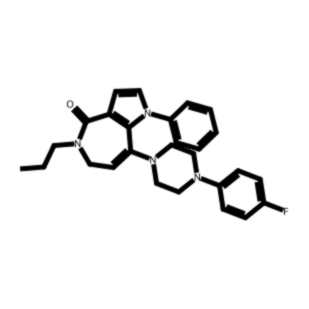 CCCN1CC=C(N2CCN(c3ccc(F)cc3)CC2)c2c(ccn2-c2ccccc2)C1=O